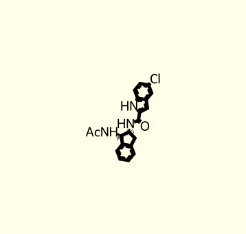 CC(=O)N[C@@H]1c2ccccc2C[C@H]1NC(=O)c1cc2cc(Cl)ccc2[nH]1